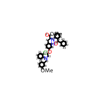 COC(=O)C(Cc1ccc(OCCN(Cc2cccc(OC)c2)c2ccccc2Cl)cc1)Nc1ccccc1C(=O)c1ccccc1